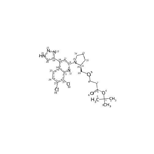 CC(C)(C)OC(=O)CCOC[C@@H]1CCCN1c1cc(-c2c[nH]nn2)c2ccc(Cl)c(Cl)c2n1